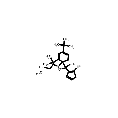 CCCSC1(C(C)(C)C2=[C]([Ti+2])CC=C2)CC=C(C(C)(C)C)C=C1C(C)(C)C.[Cl-].[Cl-]